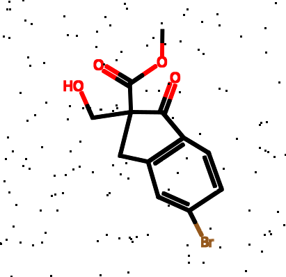 COC(=O)C1(CO)Cc2cc(Br)ccc2C1=O